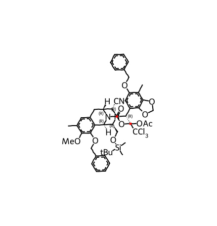 COc1c(C)cc2c(c1OCc1ccccc1)[C@@H]1[C@H](CO[Si](C)(C)C(C)(C)C)N([C@@H](COC(C)=O)c3cc(OCc4ccccc4)c(C)c4c3OCO4)[C@@H](C#N)[C@@H](C2)N1C(=O)OCC(Cl)(Cl)Cl